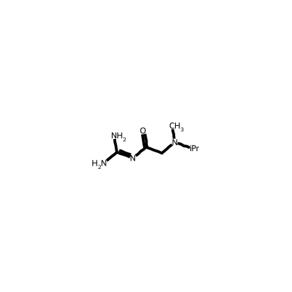 CC(C)N(C)CC(=O)N=C(N)N